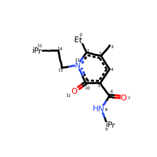 CCc1c(C)cc(C(=O)NC(C)C)c(=O)n1CCC(C)C